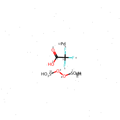 O=C(O)C(F)(F)F.O=S(=O)(O)OOS(=O)(=O)O.[KH].[Pd]